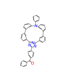 O=C(c1ccccc1)c1ccc(-c2nc3nc(n2)-c2cccc(c2)-c2cccc(c2)N(c2ccccc2)c2cccc(c2)-c2cccc-3c2)cc1